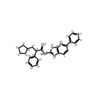 O=C(Nc1nc2ccc(-c3ccncc3)nc2s1)C(CC1CCCC1)c1ccccc1